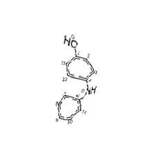 Oc1ccc(Nc2[c]cccc2)cc1